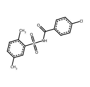 Cc1ccc(C)c(S(=O)(=O)NC(=O)c2ccc(Cl)cc2)c1